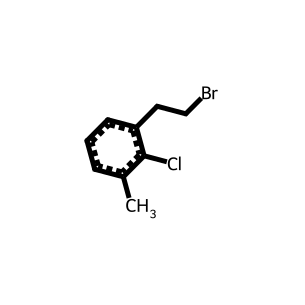 Cc1cccc(CCBr)c1Cl